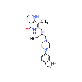 C#C/C(=C\c1[nH]c(=O)c2c(c1C)NCCC2)CN1CCN(c2ccc3cc[nH]c3c2)CC1